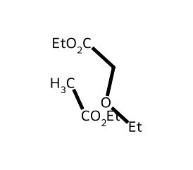 CCOC(C)=O.CCOCC(=O)OCC